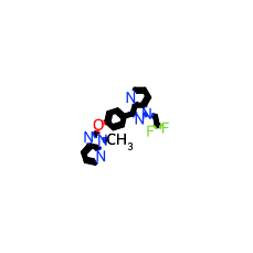 Cn1c(Oc2ccc(-c3nn(CC(F)F)c4cccnc34)cc2)nc2cccnc21